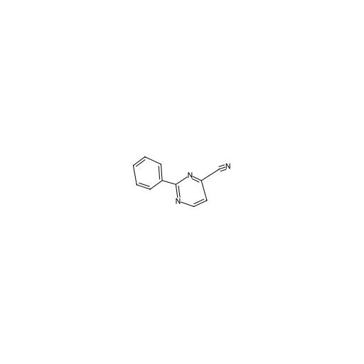 N#Cc1ccnc(-c2ccccc2)n1